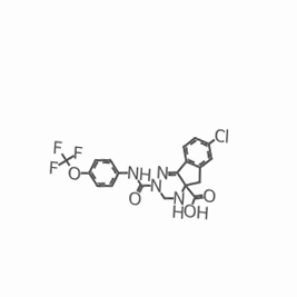 O=C(Nc1ccc(OC(F)(F)F)cc1)N1CNC2(C(=O)O)Cc3cc(Cl)ccc3C2=N1